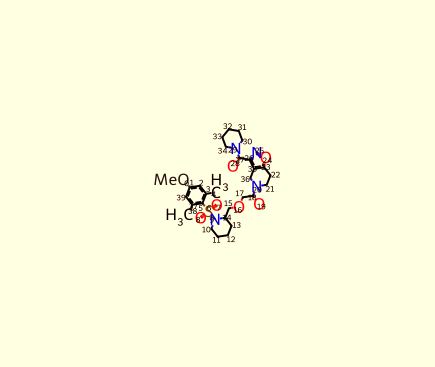 COc1cc(C)c(S(=O)(=O)N2CCCCC2COCC(=O)N2CCc3onc(C(=O)N4CCCCC4)c3C2)c(C)c1